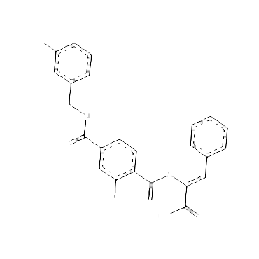 O=C(O)C(=Cc1ccccc1)NC(=O)c1ccc(C(=O)NCc2cccc(O)c2)cc1Cl